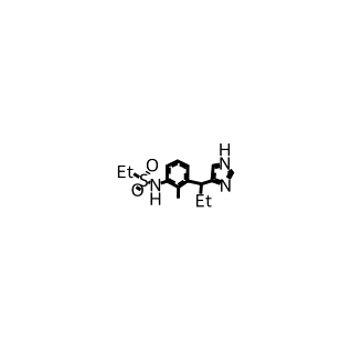 CCC(c1c[nH]cn1)c1cccc(NS(=O)(=O)CC)c1C